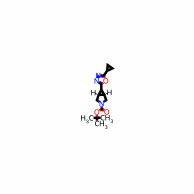 CC(C)(C)OC(=O)N1C[C@@H]2C(c3nnc(C4CC4)o3)[C@@H]2C1